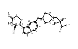 O=C1CCN(c2cnn3ccc(CN4CCN(CC(F)(F)C(F)F)CC4)cc23)C(=O)N1